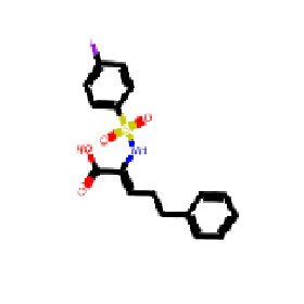 O=C(O)C(=CCCc1ccccc1)NS(=O)(=O)c1ccc(I)cc1